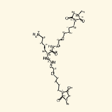 CC1CC(=O)N(CCCCOCONN[C@@H](CCCCN)C(=O)NOCOCCCCN2C(=O)CC(C)C2=O)C1=O